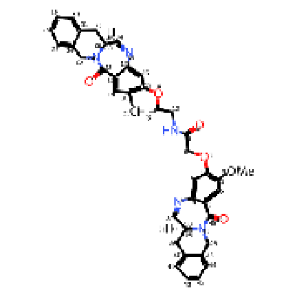 COc1cc2c(cc1OCC(=O)NCCOc1cc3c(cc1C)C(=O)N1Cc4ccccc4C[C@H]1C=N3)N=C[C@@H]1Cc3ccccc3CN1C2=O